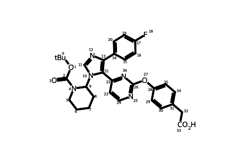 CC(C)(C)OC(=O)N1CCCCC1n1cnc(-c2ccc(F)cc2)c1-c1ccnc(Oc2ccc(CC(=O)O)cc2)n1